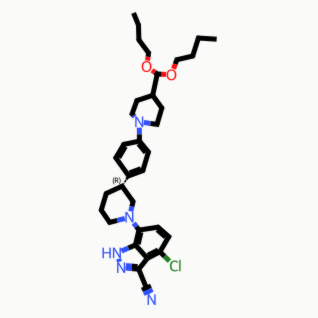 CCCCOC(OCCCC)C1CCN(c2ccc([C@H]3CCCN(c4ccc(Cl)c5c(C#N)n[nH]c45)C3)cc2)CC1